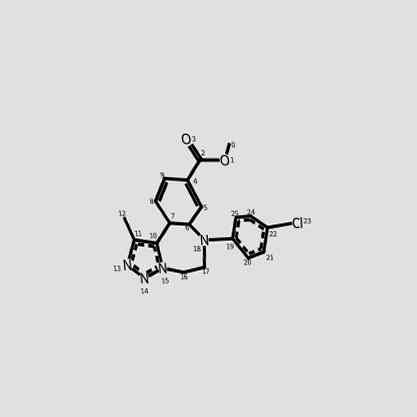 COC(=O)C1=CC2C(C=C1)c1c(C)nnn1CCN2c1ccc(Cl)cc1